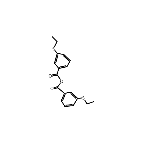 CCSc1cccc(C(=O)OC(=O)c2cccc(SCC)c2)c1